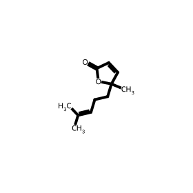 CC(C)=CCCC1(C)C=CC(=O)O1